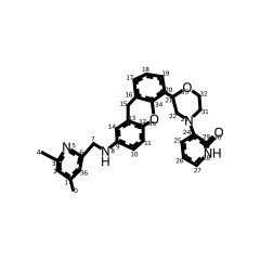 Cc1cc(C)nc(CNc2ccc3c(c2)Cc2cccc(C4CN(c5ccc[nH]c5=O)CCO4)c2O3)c1